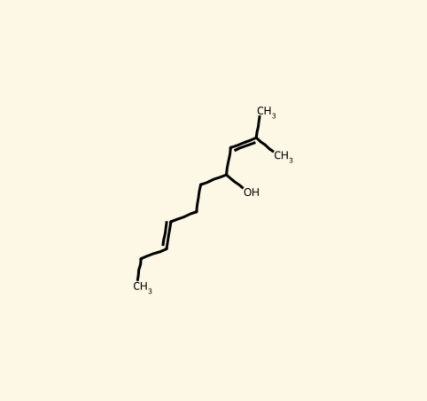 CCC=CCCC(O)C=C(C)C